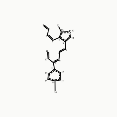 C=C/C=C\c1c(/C=C/C=C(\C=C)c2ccc(C)cc2)csc1C